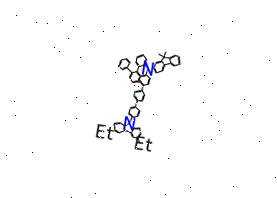 CCc1ccc2c(c1)c1cc(CC)ccc1n2-c1ccc(-c2ccc(-c3ccc(N(c4ccc5c(c4)C(C)(C)c4ccccc4-5)c4ccccc4-c4ccccc4-c4ccccc4)cc3)cc2)cc1